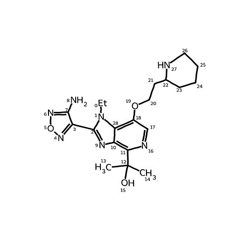 CCn1c(-c2nonc2N)nc2c(C(C)(C)O)ncc(OCCC3CCCCN3)c21